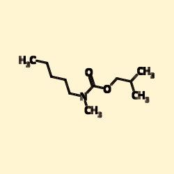 CCCCCN(C)C(=O)OCC(C)C